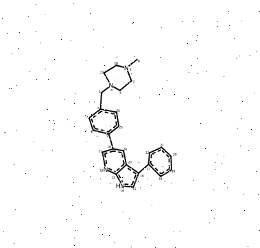 CN1CCN(Cc2ccc(-c3cnc4[nH]cc(-c5ccccc5)c4c3)cc2)CC1